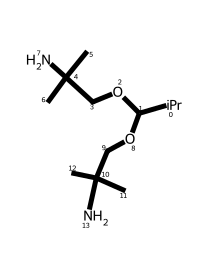 CC(C)C(OCC(C)(C)N)OCC(C)(C)N